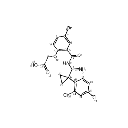 N=C(NC(=O)c1cc(Br)ccc1OCC(=O)O)C1(c2ccc(Cl)cc2Cl)CC1